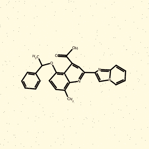 Cc1ccc(OC(C)c2ccccc2)c2c(C(=O)O)cc(-c3cn4ccccc4n3)nc12